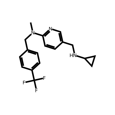 CN(Cc1ccc(C(F)(F)F)cc1)c1ccc(CNC2CC2)cn1